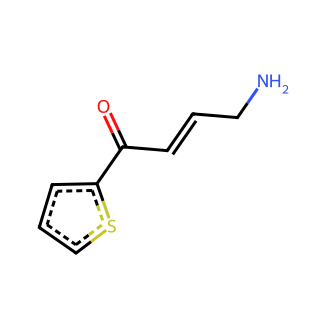 NCC=CC(=O)c1cccs1